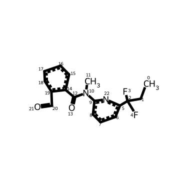 CCC(F)(F)c1cccc(N(C)C(=O)c2ccccc2C=O)n1